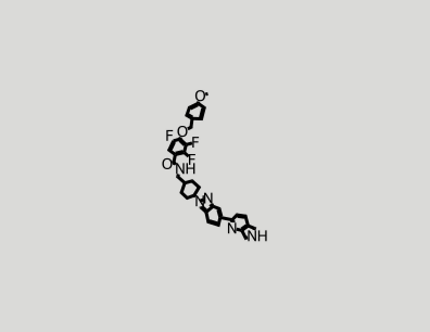 COc1ccc(COc2c(F)cc(C(=O)NCC3CCC(n4cc5ccc(-c6ccc7c(n6)CNC7)cc5n4)CC3)c(F)c2F)cc1